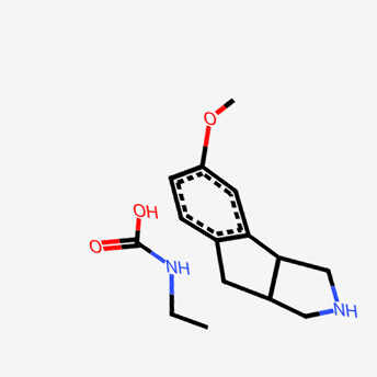 CCNC(=O)O.COc1ccc2c(c1)C1CNCC1C2